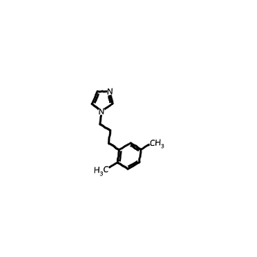 Cc1ccc(C)c(CCCn2ccnc2)c1